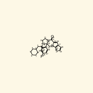 O=C(CC1CCCCC1)N1CCN2C(=O)c3cc4ccsc4n3CC12c1ccc(F)cc1